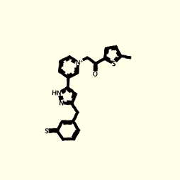 Cc1ccc(C(=O)C[n+]2cccc(-c3cc(CC4=CC(=S)CC=C4)n[nH]3)c2)s1